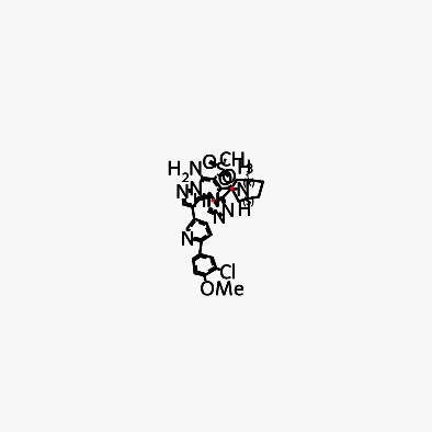 COc1ccc(-c2ccc(-c3cnn4c(N)c(S(C)(=O)=O)c(C5C[C@H]6CC[C@@H](C5)N6C(=O)c5nnc[nH]5)nc34)cn2)cc1Cl